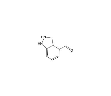 O=CC1C=CC=C2NNCC21